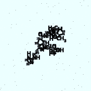 Cc1cccc(C)c1S(=O)(=O)N[C@@H](CNC(=O)c1ccc2c(CCCNc3ncc[nH]3)nn(C)c2c1)C(=O)O.O=C(O)C(F)(F)F